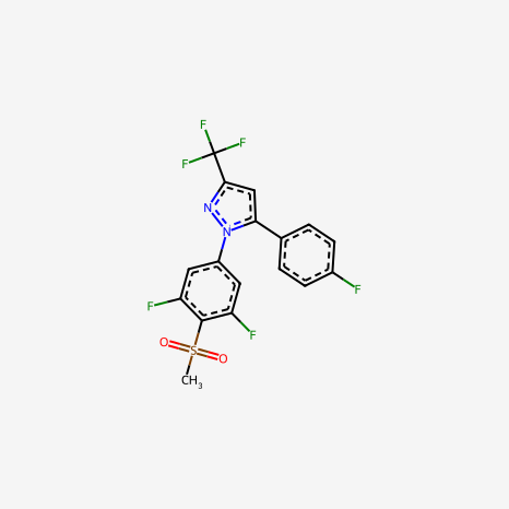 CS(=O)(=O)c1c(F)cc(-n2nc(C(F)(F)F)cc2-c2ccc(F)cc2)cc1F